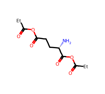 CCC(=O)OC(=O)CC[C@H](N)C(=O)OC(=O)CC